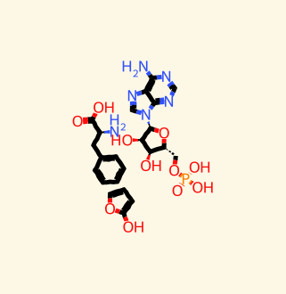 N[C@@H](Cc1ccccc1)C(=O)O.Nc1ncnc2c1ncn2[C@@H]1O[C@H](COP(=O)(O)O)[C@@H](O)[C@H]1O.Oc1ccco1